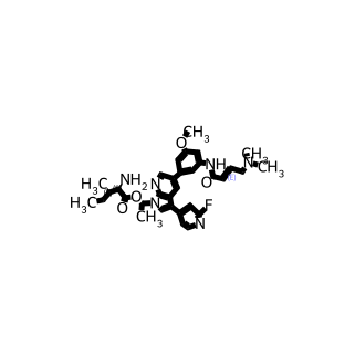 CC[C@H](C)[C@H](N)C(=O)OC(C)n1cc(-c2ccnc(F)c2)c2cc(-c3cc(NC(=O)/C=C/CN(C)C)cc(OC)c3)cnc21